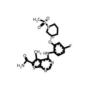 Cc1c(C(N)=O)sc2ncnc(Nc3ccc(F)cc3O[C@H]3CCCN(S(C)(=O)=O)C3)c12